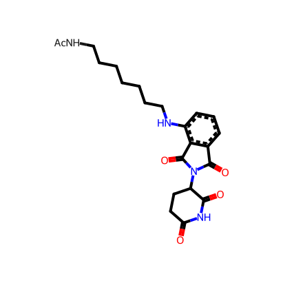 CC(=O)NCCCCCCCNc1cccc2c1C(=O)N(C1CCC(=O)NC1=O)C2=O